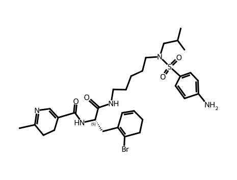 CC1=NC=C(C(=O)N[C@@H](CC2=C(Br)CCC=C2)C(=O)NCCCCCN(CC(C)C)S(=O)(=O)c2ccc(N)cc2)CC1